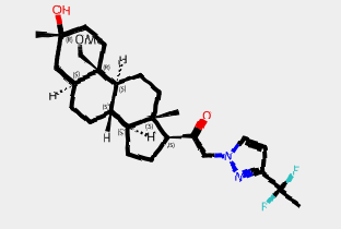 COC[C@]12CC[C@@](C)(O)C[C@@H]1CC[C@H]1[C@@H]3CC[C@H](C(=O)Cn4ccc(C(C)(F)F)n4)[C@@]3(C)CC[C@@H]12